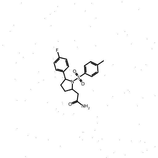 Cc1ccc(S(=O)(=O)N2C(CC(N)=O)CCC2c2ccc(F)cc2)cc1